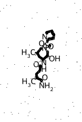 C[C@@H]1C[C@@H](NC(=O)[CH]C[C@@H](C)C(N)=O)[C@@H](O)CN(S(=O)(=O)c2ccccn2)C1